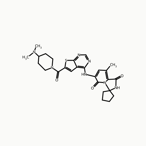 Cc1cc(Nc2ncnc3sc(C(=O)N4CCC(N(C)C)CC4)cc23)c(=O)n2c1C(=O)NC21CCCC1